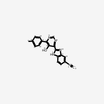 [C-]#[N+]c1ccc2[nH]c(-c3ncnc(-c4ccc(C)cc4)c3O)nc2c1